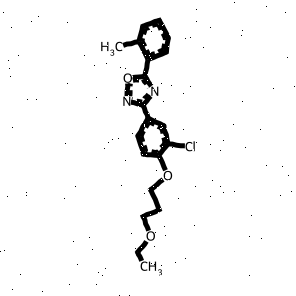 CCOCCCOc1ccc(-c2noc(-c3ccccc3C)n2)cc1Cl